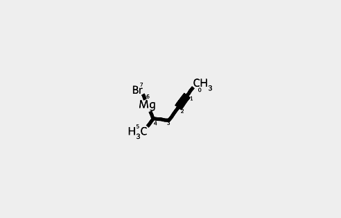 CC#CC[CH](C)[Mg][Br]